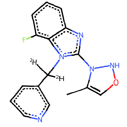 [2H]C([2H])(c1cccnc1)n1c(N2NOC=C2C)nc2cccc(F)c21